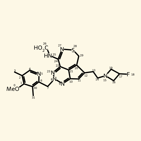 COc1c(C)cnc(Cn2nc3cc(CCN4CC(F)C4)c4c-3c(n2)C(NC(=O)O)=NSC4)c1C